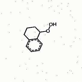 OOC1CCCc2ccccc21